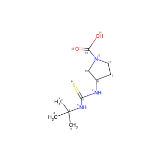 CC(C)(C)NC(=S)NC1CCN(C(=O)O)C1